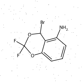 Nc1cccc2c1[C](Br)OC(F)(F)O2